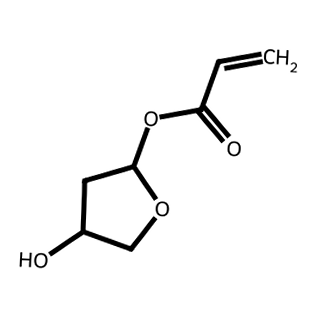 C=CC(=O)OC1CC(O)CO1